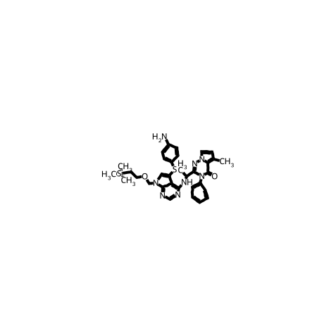 Cc1ccn2nc(C(C)Nc3ncnc4c3c(Sc3ccc(N)cc3)cn4COCC[Si](C)(C)C)n(-c3ccccc3)c(=O)c12